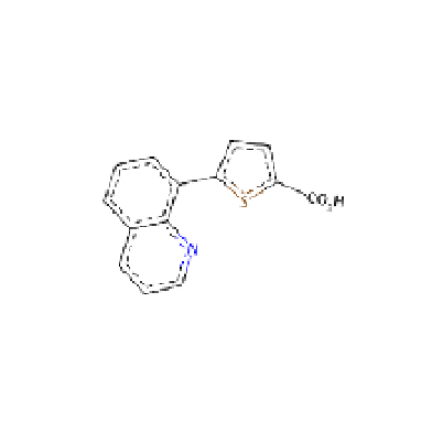 O=C(O)c1ccc(-c2cccc3cccnc23)s1